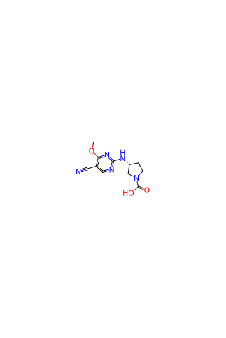 COc1nc(N[C@@H]2CCN(C(=O)O)C2)ncc1C#N